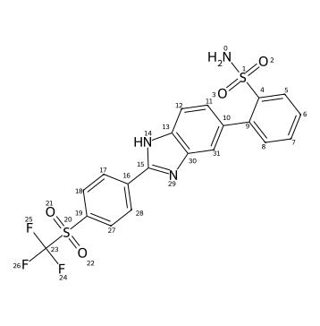 NS(=O)(=O)c1ccccc1-c1ccc2[nH]c(-c3ccc(S(=O)(=O)C(F)(F)F)cc3)nc2c1